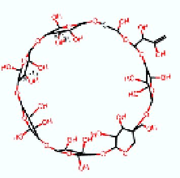 C=C(O)C(O)C1OC(O)COC2OC(O)C(OC3OC(O)C(OC4OC(O)C(OC5OC(O)C(OC6OCC(CO)(OC7OC(O)C(O1)C(O)C7O)C(O)C6O)C(O)C5O)C(O)C4O)[C@H](O)C3O)[C@H](O)C2O